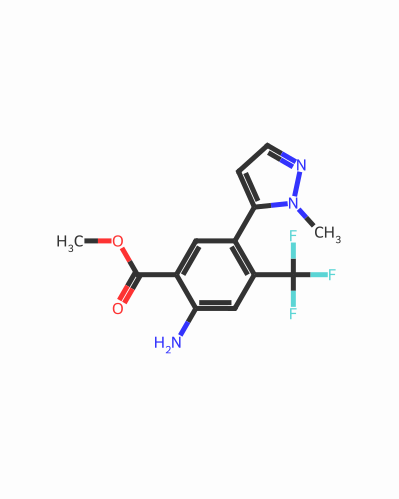 COC(=O)c1cc(-c2ccnn2C)c(C(F)(F)F)cc1N